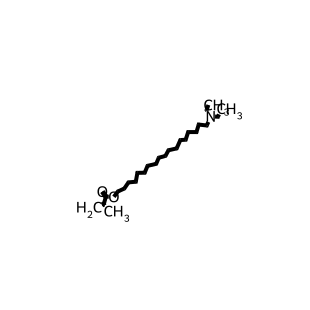 C=C(C)C(=O)OCCCCCCCCCCCCCCCCCCN(CC)CC